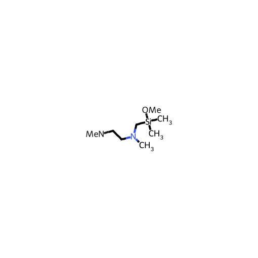 CNCCN(C)C[Si](C)(C)OC